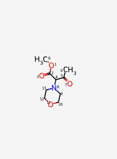 COC(=O)C(C(C)=O)N1CCOCC1